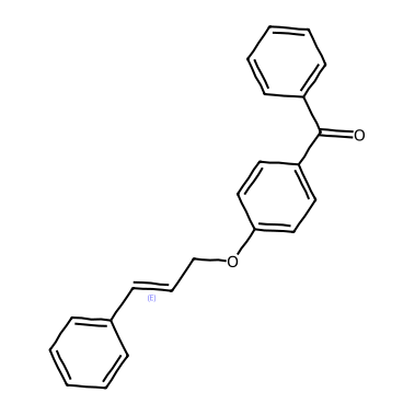 O=C(c1ccccc1)c1ccc(OC/C=C/c2ccccc2)cc1